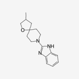 CC1COC2(CCN(c3nc4ccccc4[nH]3)CC2)C1